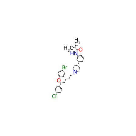 CC(C)C(=O)Nc1cccc(C2CCN(CCCCCC(Oc3ccc(Br)cc3)c3ccc(Cl)cc3)CC2)c1